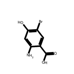 Nc1cc(O)c(Br)cc1C(=O)O